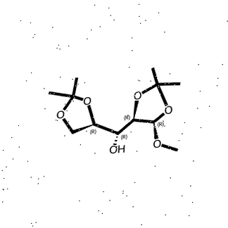 CO[C@@H]1OC(C)(C)O[C@@H]1[C@H](O)[C@H]1COC(C)(C)O1